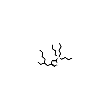 CCCCC(CC)Cc1cs[c]([Sn]([CH2]CCC)([CH2]CCC)[CH2]CCC)c1